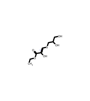 CCOC(=O)/C(O)=C/SCC(O)CO